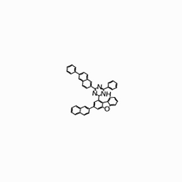 c1ccc(C2=NC(c3ccc4cc(-c5ccccc5)ccc4c3)=NC(c3cc(-c4ccc5ccccc5c4)cc4oc5ccccc5c34)N2)cc1